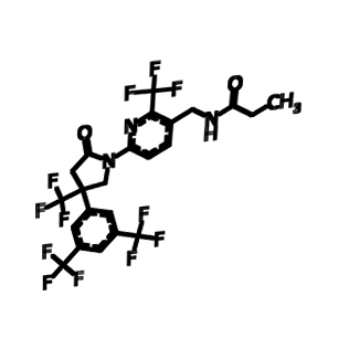 CCC(=O)NCc1ccc(N2CC(c3cc(C(F)(F)F)cc(C(F)(F)F)c3)(C(F)(F)F)CC2=O)nc1C(F)(F)F